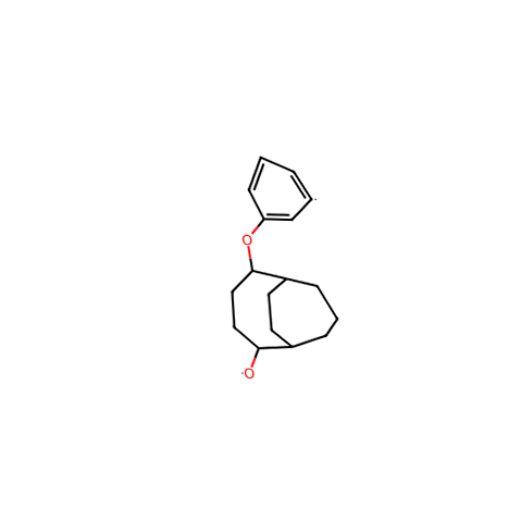 [O]C1CCC(Oc2c[c]ccc2)C2CCCC1CC2